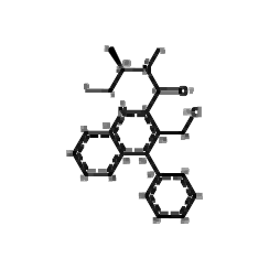 CC[C@@H](C)N(C)C(=O)c1nc2ccccc2c(-c2ccccc2)c1CCl